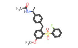 C[C@H](NC(=O)C(F)(F)F)c1ccc(Cc2ccc(OC(F)(F)F)cc2S(=O)(=O)c2ccccc2F)cc1